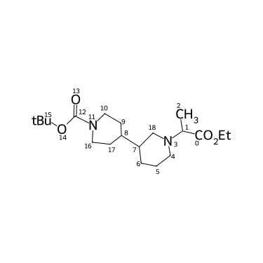 CCOC(=O)C(C)N1CCCC(C2CCN(C(=O)OC(C)(C)C)CC2)C1